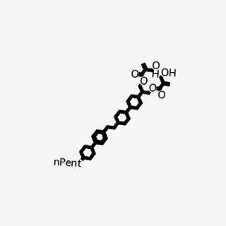 C=C(CO)C(=O)OCC(COC(=O)C(=C)CO)C1CCC(C2CCC(CCc3ccc(C4CCC(CCCCC)CC4)cc3)CC2)CC1